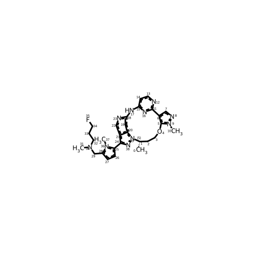 C[C@H]1CCOc2c(cnn2C)-c2nccc(n2)Nc2cc3c(cn2)c(-c2ccc(CN(C)CCCF)n2C)nn31